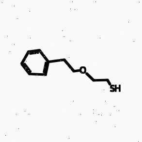 SCCOCCc1ccccc1